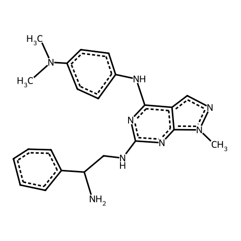 CN(C)c1ccc(Nc2nc(NCC(N)c3ccccc3)nc3c2cnn3C)cc1